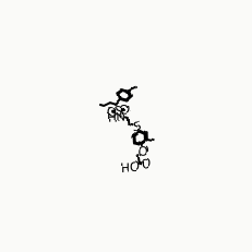 CCCC(c1ccc(C)cc1)S(=O)(=O)NCCSc1ccc(OCC(=O)O)c(C)c1